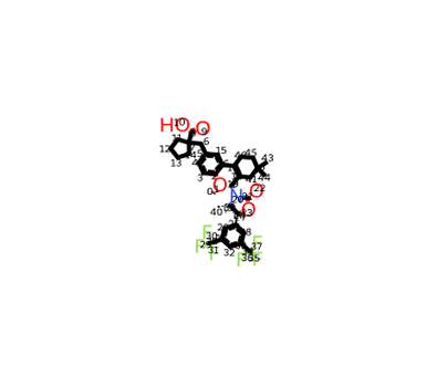 COc1ccc(CC2(C(=O)O)CCCC2)cc1C1=C(CN2C(=O)O[C@H](c3cc(C(F)(F)F)cc(C(F)(F)F)c3)[C@@H]2C)CC(C)(C)CC1